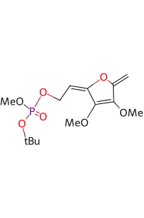 C=c1o/c(=C/COP(=O)(OC)OC(C)(C)C)c(OC)c1OC